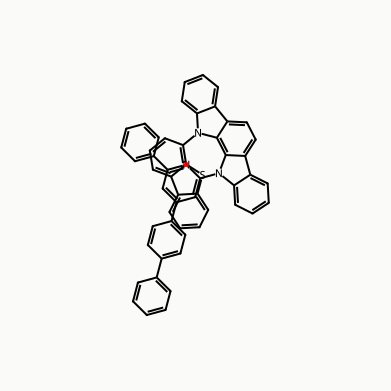 c1ccc(-c2ccc(-c3cc(-c4ccccc4)nc(-n4c5ccccc5c5ccc6c7ccccc7n(-c7cccc8c7sc7ccccc78)c6c54)c3)cc2)cc1